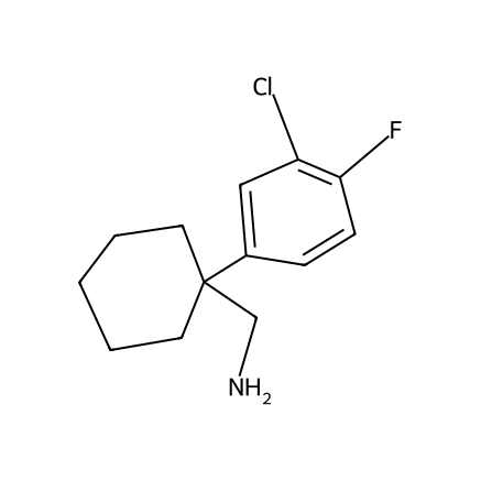 NCC1(c2ccc(F)c(Cl)c2)CCCCC1